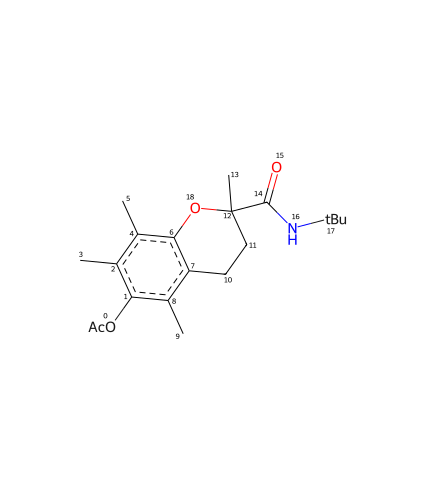 CC(=O)Oc1c(C)c(C)c2c(c1C)CCC(C)(C(=O)NC(C)(C)C)O2